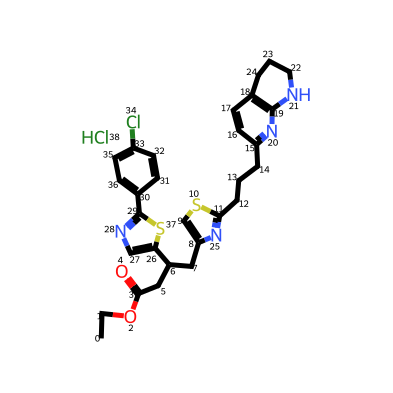 CCOC(=O)CC(Cc1csc(CCCc2ccc3c(n2)NCCC3)n1)c1cnc(-c2ccc(Cl)cc2)s1.Cl